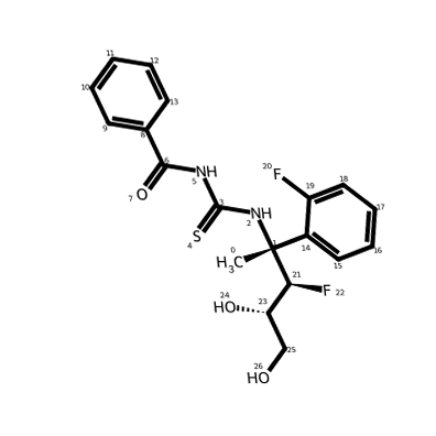 C[C@@](NC(=S)NC(=O)c1ccccc1)(c1ccccc1F)[C@@H](F)[C@@H](O)CO